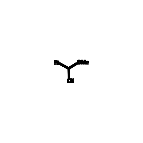 CC[C](C#N)OC